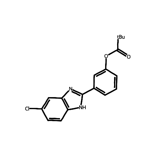 CC(C)(C)C(=O)Oc1cccc(-c2nc3cc(Cl)ccc3[nH]2)c1